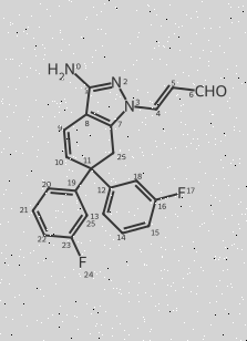 Nc1nn(C=CC=O)c2c1C=CC(c1cccc(F)c1)(c1cccc(F)c1)C2